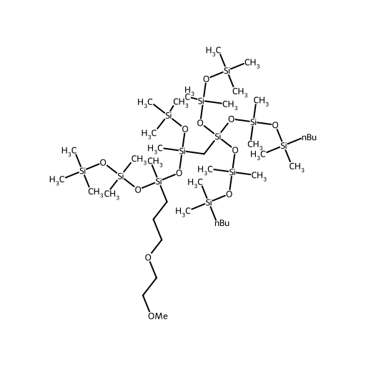 CCCC[Si](C)(C)O[Si](C)(C)O[Si](C[Si](C)(O[Si](C)(C)C)O[Si](C)(CCCOCCOC)O[Si](C)(C)O[Si](C)(C)C)(O[Si](C)(C)O[Si](C)(C)C)O[Si](C)(C)O[Si](C)(C)CCCC